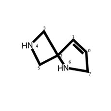 C1=CC2(CNC2)NC1